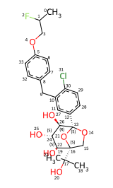 CC(F)COc1ccc(Cc2cc([C@]34OC[C@](C(C)(C)O)(O3)[C@@H](O)[C@H](O)[C@H]4O)ccc2Cl)cc1